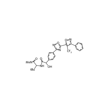 CNC(=O)C(NC(=O)C(O)c1ccc(-c2noc(-c3onc(-c4ccccc4)c3C(F)(F)F)n2)cc1)C(C)(C)C